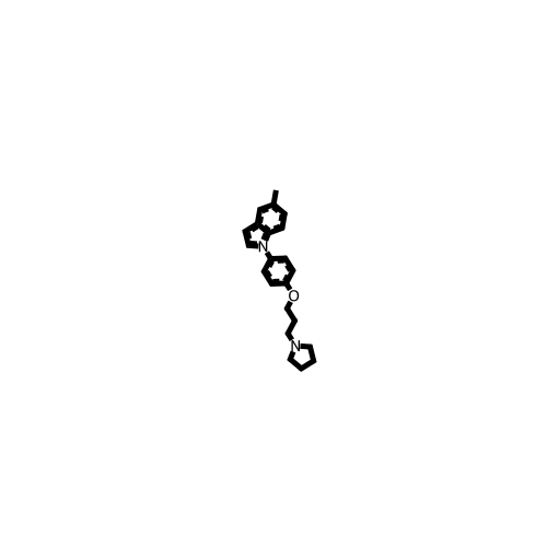 Cc1ccc2c(ccn2-c2ccc(OCCCN3CCCC3)cc2)c1